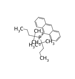 CCCC(C)(C)P(c1c2ccccc2cc2ccccc12)C(C)(C)CCC